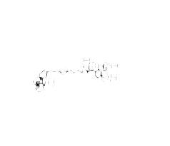 CS(=O)(=O)Nc1cccc(CCCCOCCCCCNC[C@@H](O)c2ccc(O)c(CO)c2)c1